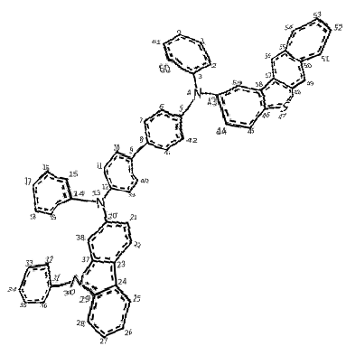 c1ccc(N(c2ccc(-c3ccc(N(c4ccccc4)c4ccc5c6ccccc6n(-c6ccccc6)c5c4)cc3)cc2)c2ccc3sc4cc5ccccc5cc4c3c2)cc1